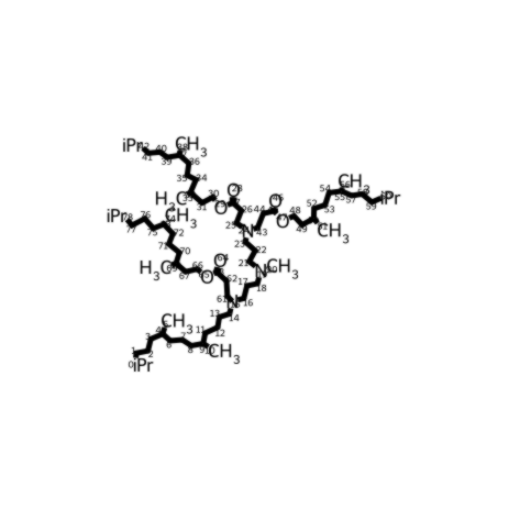 CC(C)CCCC(C)CCCC(C)CCCCN(CCCN(C)CCCN(CCC(=O)OCCC(C)CCCC(C)CCCC(C)C)CCC(=O)OCCC(C)CCCC(C)CCCC(C)C)CCC(=O)OCCC(C)CCCC(C)CCCC(C)C